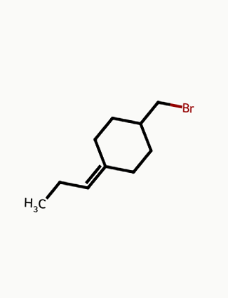 CCC=C1CCC(CBr)CC1